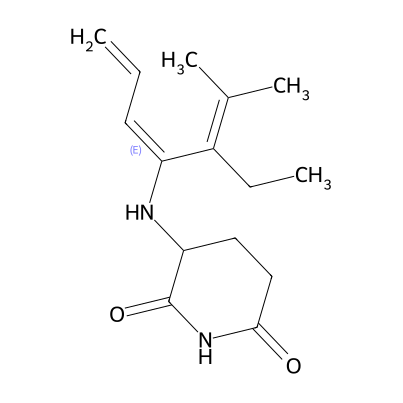 C=C/C=C(/NC1CCC(=O)NC1=O)C(CC)=C(C)C